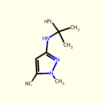 CCCC(C)(C)Nc1cc(C#N)n(C)n1